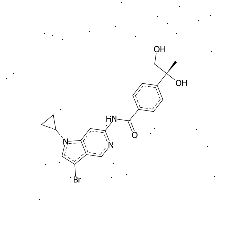 C[C@](O)(CO)c1ccc(C(=O)Nc2cc3c(cn2)c(Br)cn3C2CC2)cc1